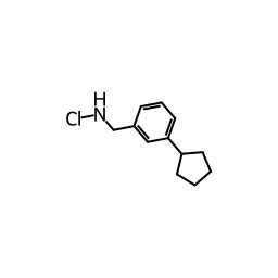 ClNCc1cccc(C2CCCC2)c1